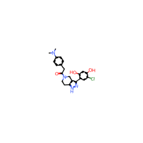 CN(C)c1ccc(CC(=O)N2CCc3[nH]nc(-c4cc(Cl)c(O)cc4O)c3C2)cc1